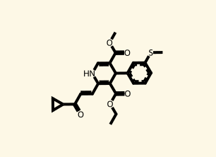 CCOC(=O)C1=C(/C=C/C(=O)C2CC2)NC=C(C(=O)OC)C1c1cccc(SC)c1